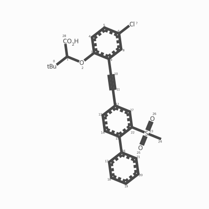 CC(C)(C)C(Oc1ccc(Cl)cc1C#Cc1ccc(-c2ccccc2)c(S(C)(=O)=O)c1)C(=O)O